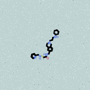 C[C@H](SNCc1ccccn1)C(=O)NCc1ccc2c(c1)CCN(CCCNC1CCCCC1)C2